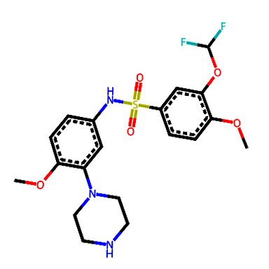 COc1ccc(S(=O)(=O)Nc2ccc(OC)c(N3CCNCC3)c2)cc1OC(F)F